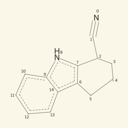 N#CC1C[CH]Cc2c1[nH]c1ccccc21